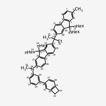 CCCCCCC1(CCCCCC)c2cc(C)ccc2-c2ccc(C(C)(CC)c3ccc4c(c3)C(CCCCCC)(CCCCCC)c3cc(N(C)c5cccc(-c6ccc7c(c6)CC7)c5)ccc3-4)cc21